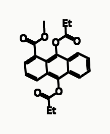 CCC(=O)Oc1c2ccccc2c(OC(=O)CC)c2c(C(=O)OI)cccc12